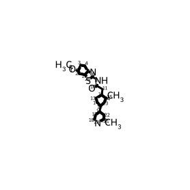 COc1ccc2nc(NC(=O)Cc3ccc(-c4ccnc(C)c4)cc3C)sc2c1